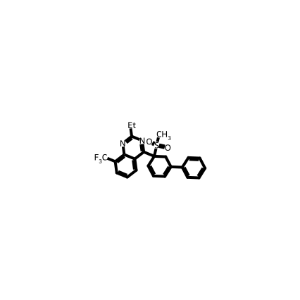 CCc1nc(C2(S(C)(=O)=O)C=CC=C(c3ccccc3)C2)c2cccc(C(F)(F)F)c2n1